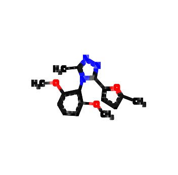 COc1cccc(OC)c1-n1c(C)nnc1-c1ccc(C)o1